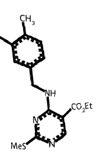 CCOC(=O)c1cnc(SC)nc1NCc1ccc(C)c(F)c1